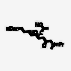 CC(O)C(=O)O.CCCCCCCCCCCCCCCCCC(=O)CN(C)CCC